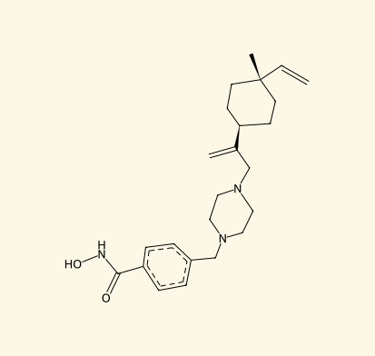 C=C[C@]1(C)CC[C@@H](C(=C)CN2CCN(Cc3ccc(C(=O)NO)cc3)CC2)CC1